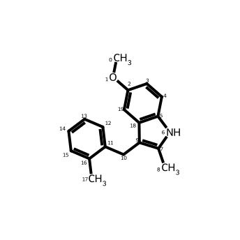 COc1ccc2[nH]c(C)c(Cc3ccccc3C)c2c1